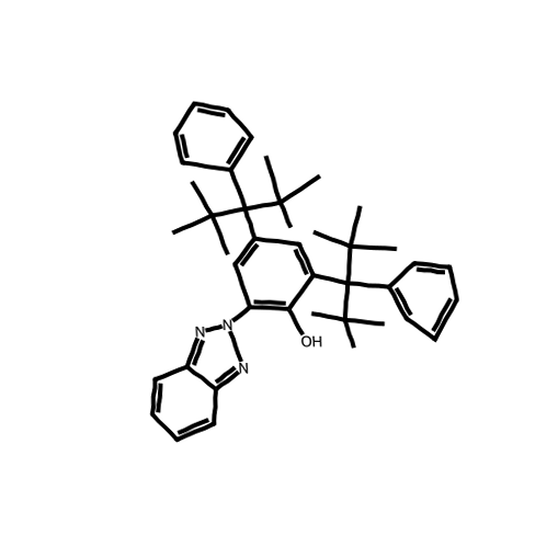 CC(C)(C)C(c1ccccc1)(c1cc(-n2nc3ccccc3n2)c(O)c(C(c2ccccc2)(C(C)(C)C)C(C)(C)C)c1)C(C)(C)C